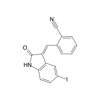 N#Cc1ccccc1C=C1C(=O)Nc2ccc(I)cc21